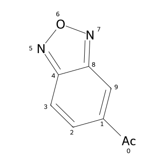 CC(=O)c1ccc2nonc2c1